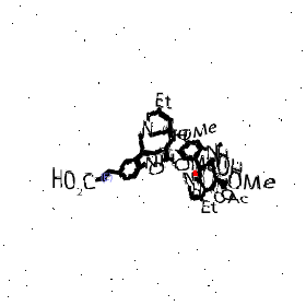 CCC1=C[C@H]2CN(C1)Cc1c([nH]c3ccc(/C=C/C(=O)O)cc13)[C@@](C(=O)OC)(c1cc3c(cc1OC)N(C)[C@H]1[C@@](O)(C(=O)OC)[C@H](OC(C)=O)C4C(CC)=CCN5CC[C@]31[C@H]45)C2